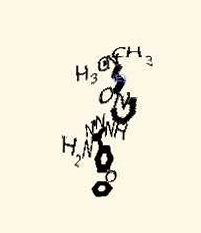 CN(C)C/C=C/C(=O)N1CCCC(Nc2ncnc(N)c2-c2ccc(Oc3ccccc3)cc2)C1